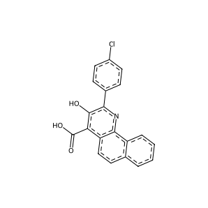 O=C(O)c1c(O)c(-c2ccc(Cl)cc2)nc2c1ccc1ccccc12